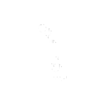 CCOC(=O)c1cnc(N2CCC(CNCc3nc4ccccc4n3C)CC2)nc1